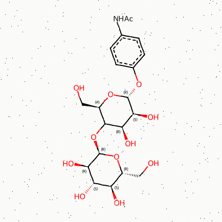 CC(=O)Nc1ccc(O[C@H]2O[C@H](CO)C(O[C@H]3O[C@H](CO)[C@@H](O)[C@H](O)[C@H]3O)[C@H](O)[C@@H]2O)cc1